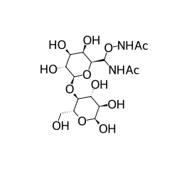 CC(=O)NOC(NC(C)=O)[C@H]1O[C@@H](O[C@H]2[C@H](O)[C@@H](O)[C@@H](O)O[C@@H]2CO)[C@H](O)[C@@H](O)[C@H]1O